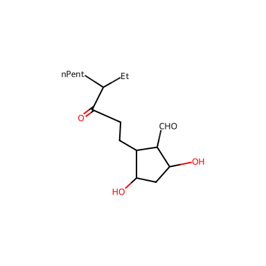 CCCCCC(CC)C(=O)CCC1C(O)CC(O)C1C=O